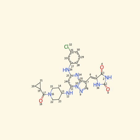 O=C1NC(=O)C(=Cc2cnn3c(NC4CCN(C(=O)C5CC5)CC4)cc(Nc4cccc(Cl)c4)nc23)N1